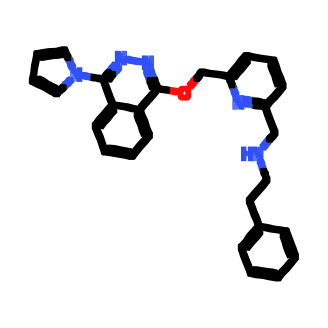 c1ccc(CCNCc2cccc(COc3nnc(-n4cccc4)c4ccccc34)n2)cc1